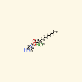 CCCCCCCCCCCCCC(=O)OCN1CCNCC1.Cl